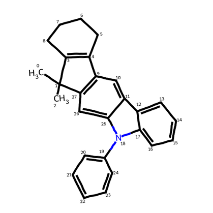 CC1(C)C2=C(CCCC2)c2cc3c4ccccc4n(-c4ccccc4)c3cc21